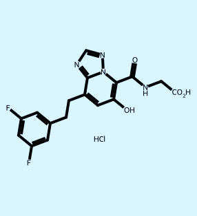 Cl.O=C(O)CNC(=O)c1c(O)cc(CCc2cc(F)cc(F)c2)c2ncnn12